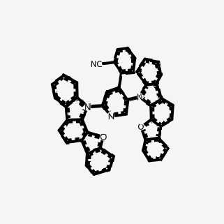 N#Cc1ccccc1-c1cc(-n2c3ccccc3c3ccc4c5ccccc5oc4c32)ncc1-n1c2ccccc2c2ccc3c4ccccc4oc3c21